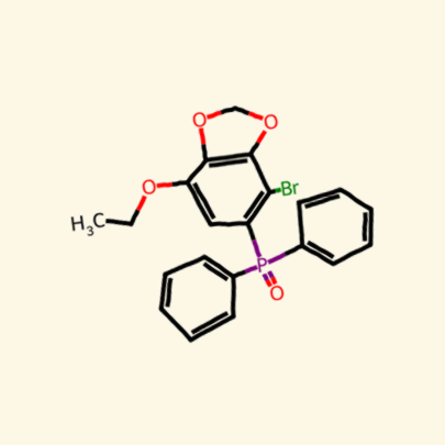 CCOc1cc(P(=O)(c2ccccc2)c2ccccc2)c(Br)c2c1OCO2